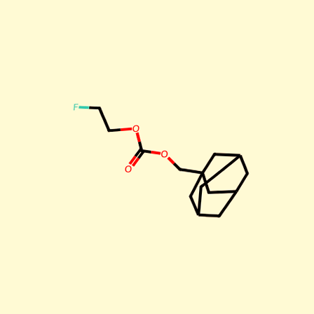 O=C(OCCF)OCC12CC3CC(CC(C3)C1)C2